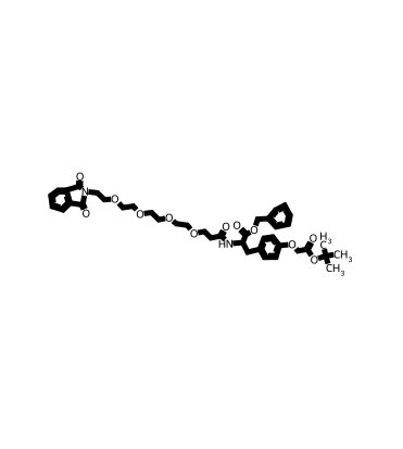 CC(C)(C)OC(=O)COc1ccc(CC(NC(=O)CCOCCOCCOCCOCCN2C(=O)c3ccccc3C2=O)C(=O)OCc2ccccc2)cc1